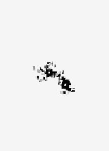 COc1cc(CNC(=O)NCc2ccc(C(=O)O)cc2)cc(OC)c1OC